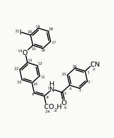 N#Cc1ccc(C(=O)N/C(=C\c2ccc(Oc3ccccc3I)cc2)C(=O)O)cc1